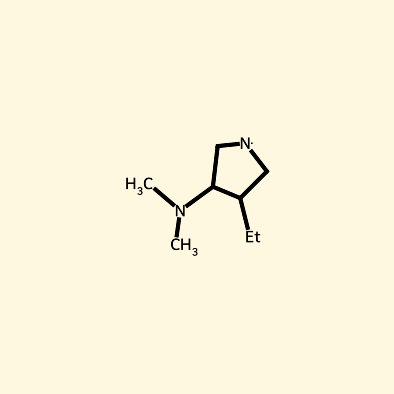 CCC1C[N]CC1N(C)C